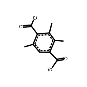 CCC(=O)c1cc(C)c(C(=O)CC)c(C)c1C